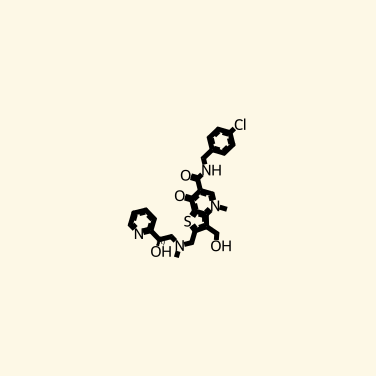 CN(Cc1sc2c(=O)c(C(=O)NCc3ccc(Cl)cc3)cn(C)c2c1CO)C[C@@H](O)c1ccccn1